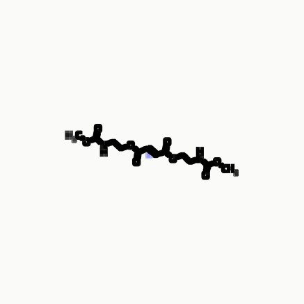 COC(=O)NCCOC(=O)/C=C/C(=O)OCCNC(=O)OC